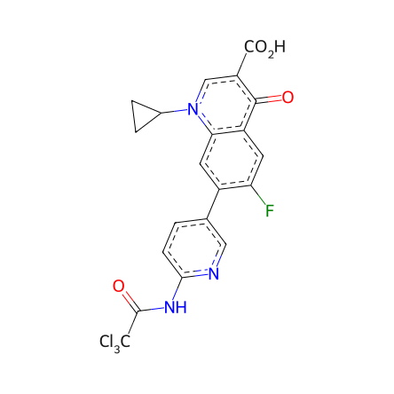 O=C(O)c1cn(C2CC2)c2cc(-c3ccc(NC(=O)C(Cl)(Cl)Cl)nc3)c(F)cc2c1=O